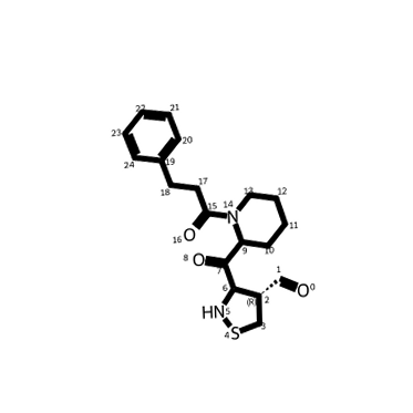 O=C[C@@H]1CSNC1C(=O)C1CCCCN1C(=O)CCc1ccccc1